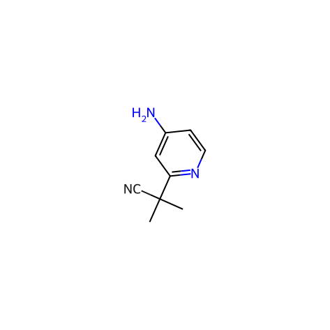 CC(C)(C#N)c1cc(N)ccn1